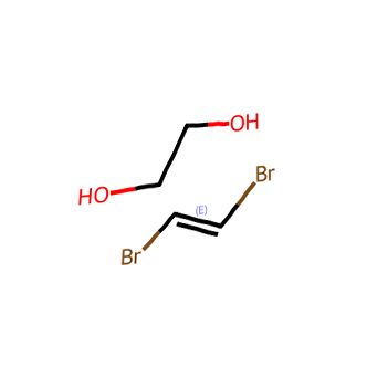 Br/C=C/Br.OCCO